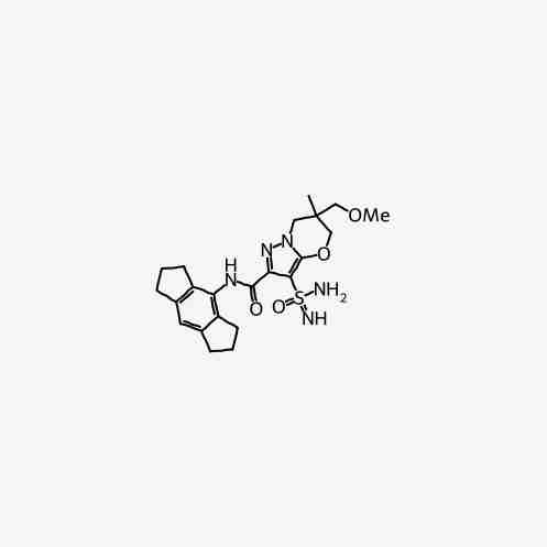 COCC1(C)COc2c(S(=N)(N)=O)c(C(=O)Nc3c4c(cc5c3CCC5)CCC4)nn2C1